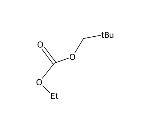 [CH2]COC(=O)OCC(C)(C)C